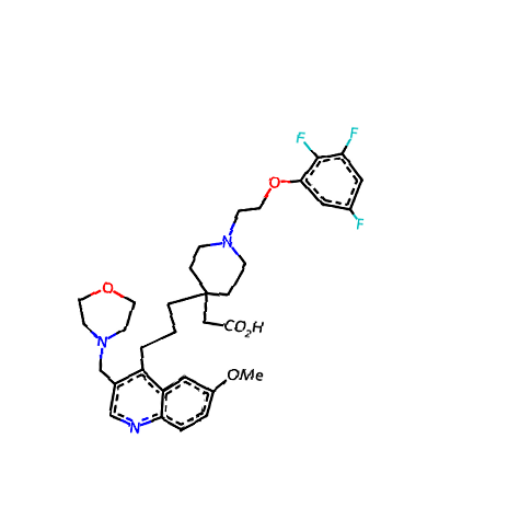 COc1ccc2ncc(CN3CCOCC3)c(CCCC3(CC(=O)O)CCN(CCOc4cc(F)cc(F)c4F)CC3)c2c1